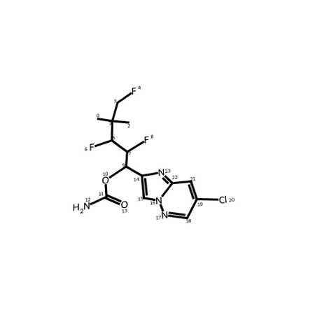 CC(C)(CF)C(F)C(F)C(OC(N)=O)c1cn2ncc(Cl)cc2n1